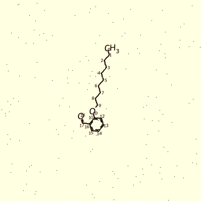 CCCCCCCCCCOc1ccccc1C=O